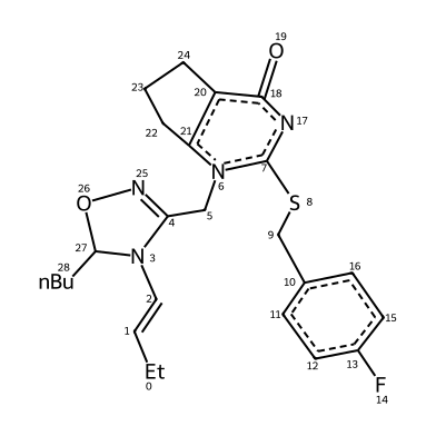 CCC=CN1C(Cn2c(SCc3ccc(F)cc3)nc(=O)c3c2CCC3)=NOC1CCCC